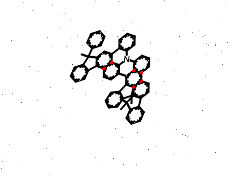 CC1(C)c2ccccc2-c2ccc(-c3cccc(N(c4ccccc4-c4ccc5c(c4)C(C)(c4ccccc4)c4ccccc4-5)c4ccccc4-c4cccc5c4-c4ccccc4C5(C)C)c3)cc21